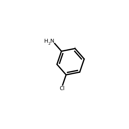 Nc1[c]ccc(Cl)c1